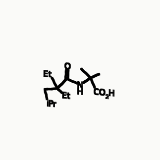 CCC(CC)(CC(C)C)C(=O)NC(C)(C)C(=O)O